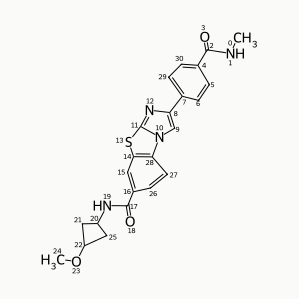 CNC(=O)c1ccc(-c2cn3c(n2)sc2cc(C(=O)NC4CC(OC)C4)ccc23)cc1